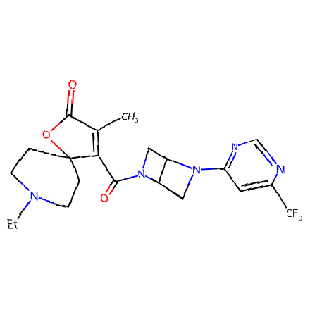 CCN1CCC2(CC1)OC(=O)C(C)=C2C(=O)N1CC2C1CN2c1cc(C(F)(F)F)ncn1